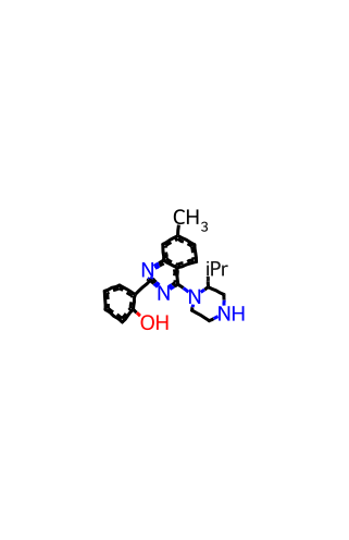 Cc1ccc2c(N3CCNCC3C(C)C)nc(-c3ccccc3O)nc2c1